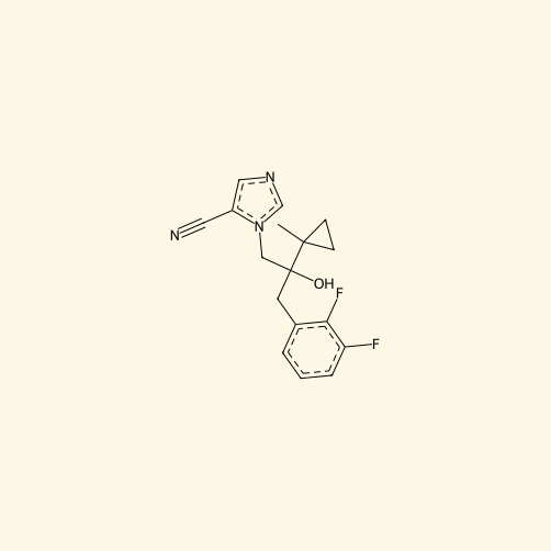 CC1(C(O)(Cc2cccc(F)c2F)Cn2cncc2C#N)CC1